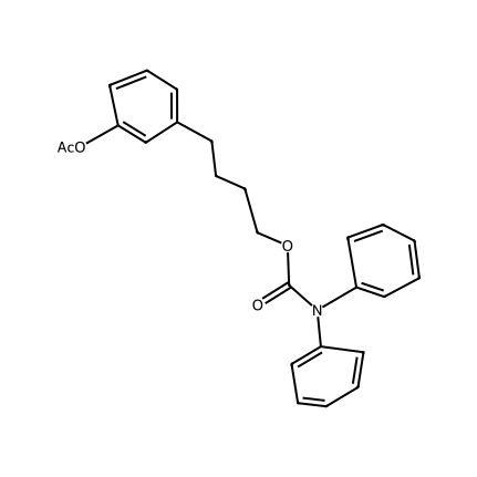 CC(=O)Oc1cccc(CCCCOC(=O)N(c2ccccc2)c2ccccc2)c1